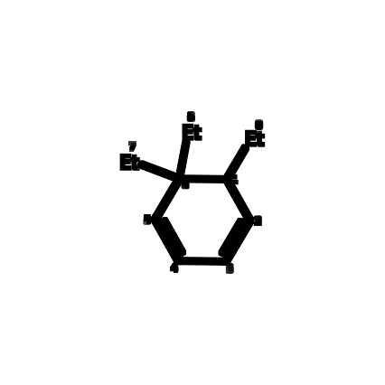 CCC1C=CC=CC1(CC)CC